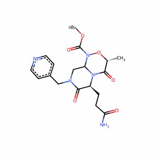 CCCCOC(=O)N1O[C@H](C)C(=O)N2C1CN(Cc1ccncc1)C(=O)[C@@H]2CCC(N)=O